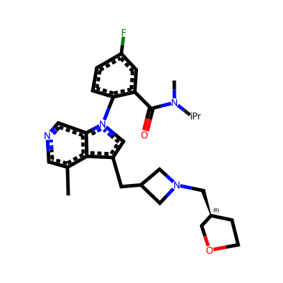 Cc1cncc2c1c(CC1CN(C[C@H]3CCOC3)C1)cn2-c1ccc(F)cc1C(=O)N(C)C(C)C